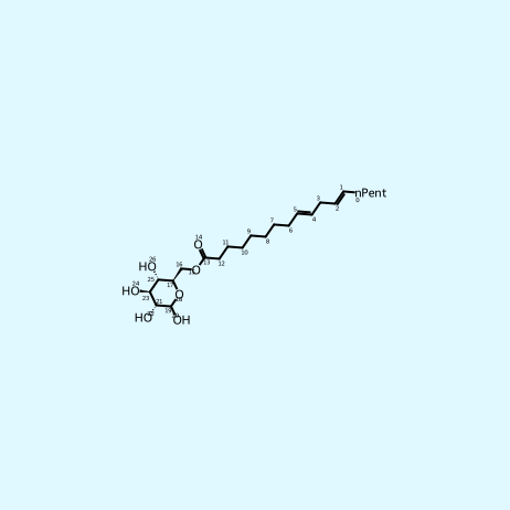 CCCCCC=CCC=CCCCCCCCC(=O)OC[C@H]1OC(O)[C@H](O)[C@@H](O)[C@@H]1O